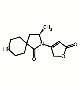 C[C@@H]1CC2(CCNCC2)C(=O)N1C1=CC(=O)OC1